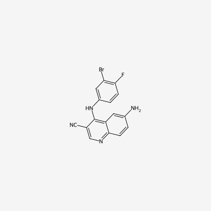 N#Cc1cnc2ccc(N)cc2c1Nc1ccc(F)c(Br)c1